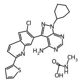 CNC(=O)O.Nc1ncnc2c1c(-c1cc3nc(-c4cccs4)ccc3cc1Cl)nn2C1CCCCC1